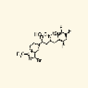 CC(C)(C)N(C(=O)O)C(CC(=O)N1CCn2c(C(F)(F)F)nc(Br)c2C1)Cc1cc(F)c(F)cc1F